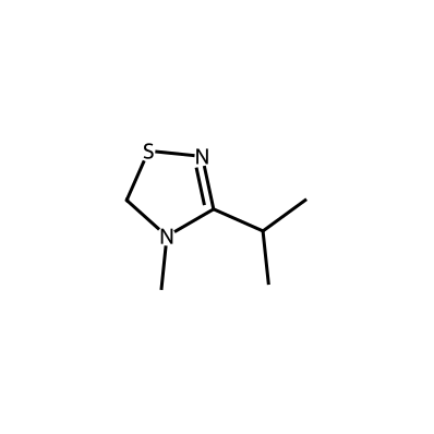 CC(C)C1=NSCN1C